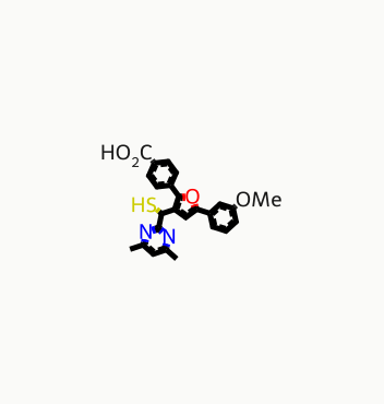 COc1cccc(-c2cc(C(S)c3nc(C)cc(C)n3)c(-c3ccc(C(=O)O)cc3)o2)c1